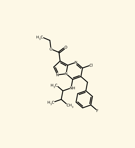 CCOC(=O)c1cnn2c(NC(C)C(C)C)c(Cc3cccc(F)c3)c(Cl)nc12